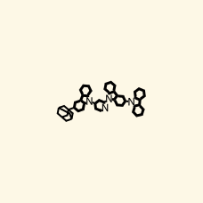 c1ccc2c(c1)c1ccccc1n2-c1ccc2c(c1)c1ccccc1n2-c1cc(-n2c3ccccc3c3cc(C45CC6CC(CC(C6)C4)C5)ccc32)ccn1